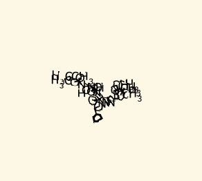 CC(C)(C)OC(=O)NCC(=O)NS(=O)(=O)N1C[C@@H](CCCB2OC(C)(C)C(C)(C)O2)[C@@](N=[N+]=[N-])(C(=O)OCc2ccccc2)C1